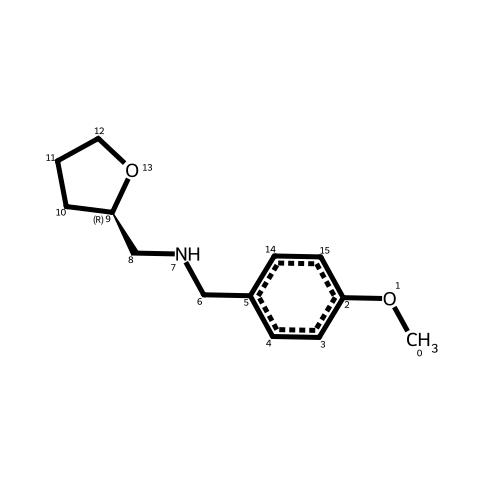 COc1ccc(CNC[C@H]2CCCO2)cc1